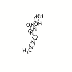 CN1CCN(c2cccc(-n3ccc4c(=O)n(CC5(O)CCNCC5)cnc43)c2)CC1